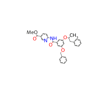 COC(=O)c1ccc(NC(=O)c2cc(OCc3ccccc3)cc(O[C@@H](C)Cc3ccccc3)c2)nc1